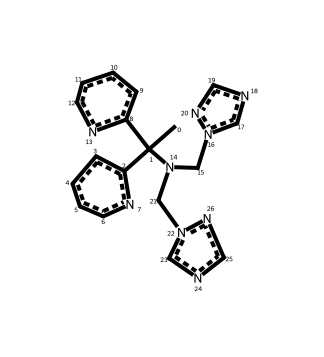 CC(c1ccccn1)(c1ccccn1)N(Cn1cncn1)Cn1cncn1